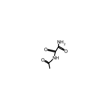 CC(=O)NC(=O)C(N)=O